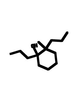 CCCC1(C)CCCCC1(O)CCC